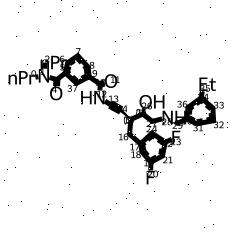 CCCN(CCC)C(=O)c1cccc(C(=O)NC#C[C@H](Cc2cc(F)cc(F)c2)[C@@H](O)CNCc2cccc(CC)c2)c1